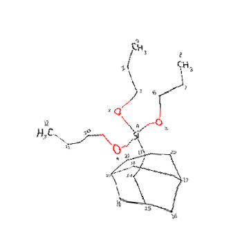 CCCO[Si](OCCC)(OCCC)C12CC3CC(CC(C3)C1)C2